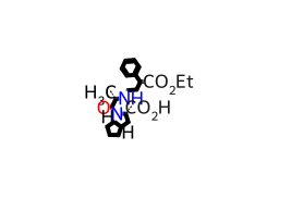 CCOC(=O)C(CCN[C@@H](C)C(=O)N1[C@H](C(=O)O)C[C@@H]2CCC[C@@H]21)c1ccccc1